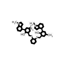 Cc1cc(CSc2ccccc2SCc2cc(C)cc(-c3cccc4c3ccn4C)c2O)c(O)c(-c2cccc3c2ccn3C)c1